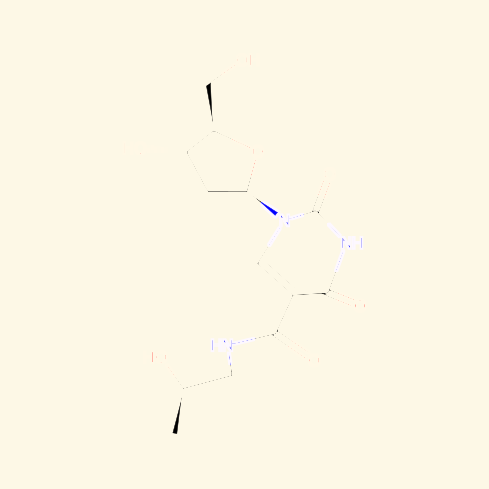 C[C@@H](O)CNC(=O)c1cn([C@H]2C[C@H](O)[C@@H](CO)O2)c(=O)[nH]c1=O